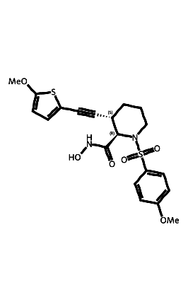 COc1ccc(S(=O)(=O)N2CCC[C@@H](C#Cc3ccc(OC)s3)[C@@H]2C(=O)NO)cc1